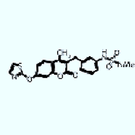 CNS(=O)(=O)Nc1cccc(Cc2c(C)c3ccc(Oc4nccs4)cc3oc2=O)c1